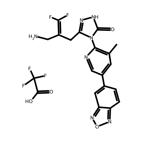 Cc1cc(-c2ccc3nonc3c2)cnc1-n1c(CC(CN)=C(F)F)n[nH]c1=O.O=C(O)C(F)(F)F